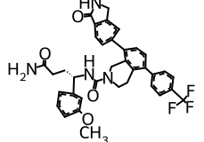 COc1cccc([C@H](CCC(N)=O)NC(=O)N2CCc3c(-c4ccc(C(F)(F)F)cc4)ccc(-c4ccc5c(c4)CNC5=O)c3C2)c1